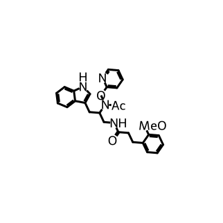 COc1ccccc1CCC(=O)NCC(Cc1c[nH]c2ccccc12)N(Oc1ccccn1)C(C)=O